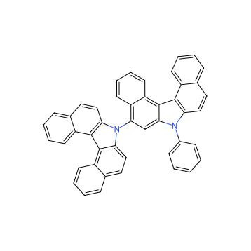 c1ccc(-n2c3ccc4ccccc4c3c3c4ccccc4c(-n4c5ccc6ccccc6c5c5c6ccccc6ccc54)cc32)cc1